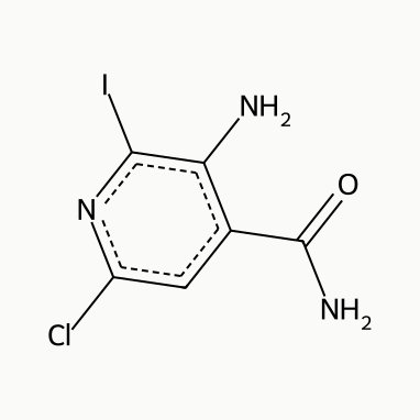 NC(=O)c1cc(Cl)nc(I)c1N